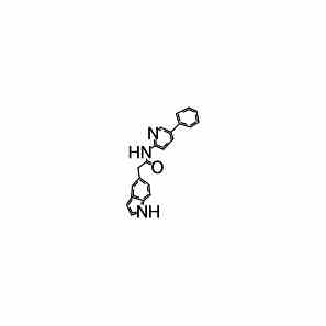 O=C(Cc1ccc2[nH]ccc2c1)Nc1ccc(-c2ccccc2)cn1